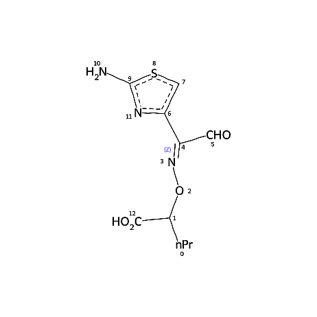 CCCC(O/N=C(\C=O)c1csc(N)n1)C(=O)O